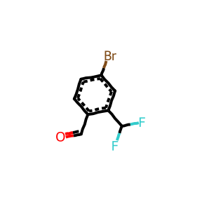 O=Cc1ccc(Br)cc1C(F)F